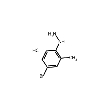 Cc1cc(Br)ccc1NN.Cl